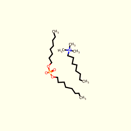 CCCCCCCCOP(=O)([O-])OCCCCCCCC.CCCCCCCC[N+](C)(C)C